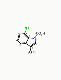 O=Cc1cn(C(=O)O)c2c(Cl)cccc12